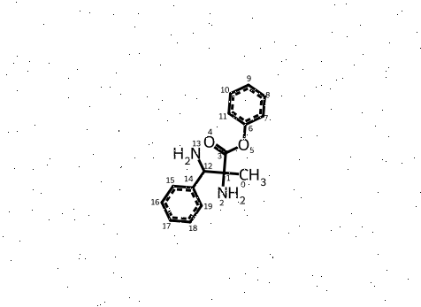 CC(N)(C(=O)Oc1ccccc1)C(N)c1ccccc1